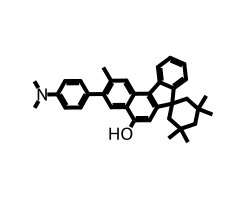 Cc1cc2c3c(cc(O)c2cc1-c1ccc(N(C)C)cc1)C1(CC(C)(C)CC(C)(C)C1)c1ccccc1-3